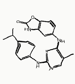 Cc1cnc(Nc2ccc(C(C)C)cc2)nc1Nc1ccc2oc(=O)[nH]c2c1